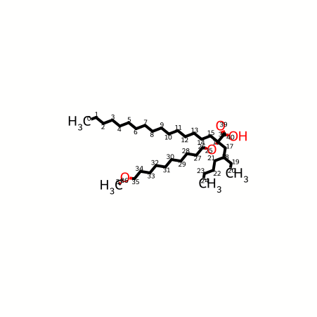 CCCCCCCCCCCCCCCCC(CC(CC)CCCC)(OCCCCCCCCCCOC)C(=O)O